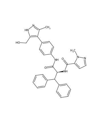 Cc1n[nH]c(CO)c1-c1ccc(NC(=O)[C@@H](NC(=O)c2ccnn2C)C(c2ccccc2)c2ccccc2)cc1